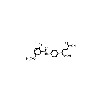 COc1ccc(OC)c(C(=O)Nc2ccc(/C(CCC(=O)O)=N/O)cc2)c1